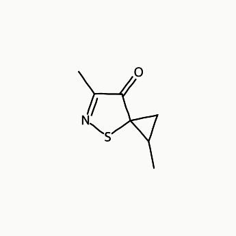 CC1=NSC2(CC2C)C1=O